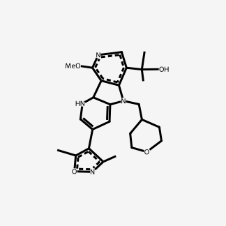 COc1ncc(C(C)(C)O)c2c1C1NC=C(c3c(C)noc3C)C=C1N2CC1CCOCC1